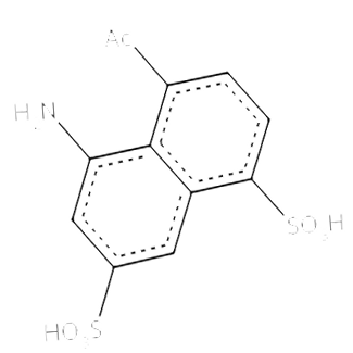 CC(=O)c1ccc(S(=O)(=O)O)c2cc(S(=O)(=O)O)cc(N)c12